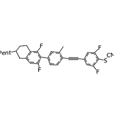 CCCCCC1CCc2c(cc(F)c(-c3ccc(C#Cc4cc(F)c(SC#N)c(F)c4)c(C)c3)c2F)C1